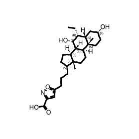 CC[C@H]1[C@@H](O)[C@@H]2[C@H](CC[C@]3(C)[C@@H](CCCc4cc(C(=O)O)no4)CC[C@@H]23)[C@@]2(C)CC[C@@H](O)C[C@@H]12